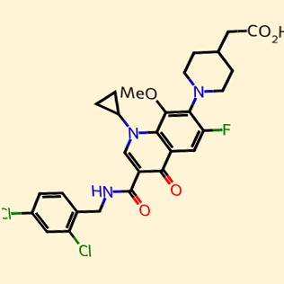 COc1c(N2CCC(CC(=O)O)CC2)c(F)cc2c(=O)c(C(=O)NCc3ccc(Cl)cc3Cl)cn(C3CC3)c12